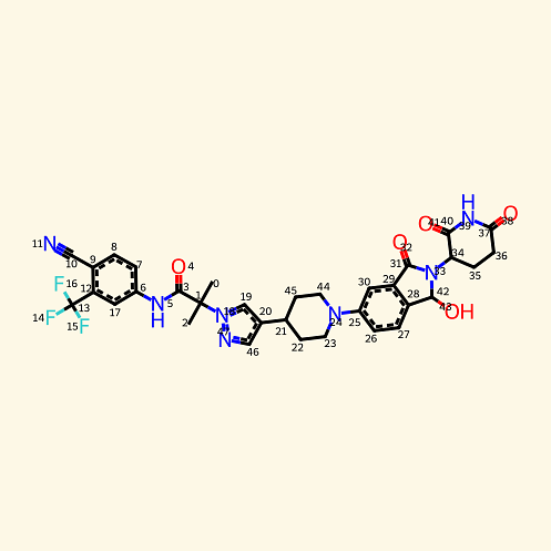 CC(C)(C(=O)Nc1ccc(C#N)c(C(F)(F)F)c1)n1cc(C2CCN(c3ccc4c(c3)C(=O)N(C3CCC(=O)NC3=O)C4O)CC2)cn1